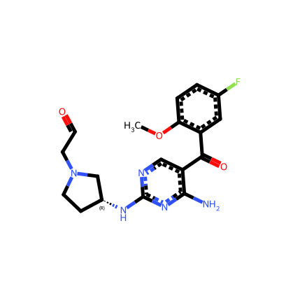 COc1ccc(F)cc1C(=O)c1cnc(N[C@@H]2CCN(CC=O)C2)nc1N